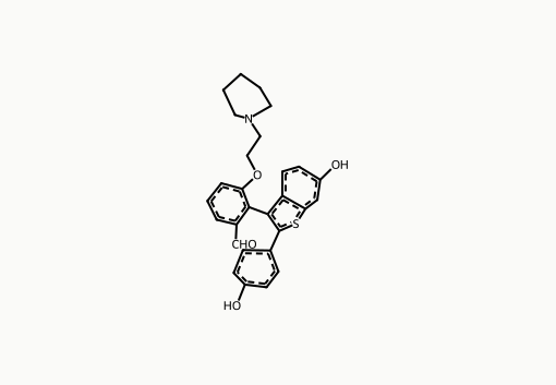 O=Cc1cccc(OCCN2CCCCC2)c1-c1c(-c2ccc(O)cc2)sc2cc(O)ccc12